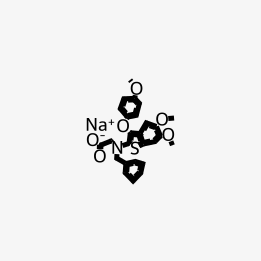 COc1ccc(Oc2c(N(CC(=O)[O-])Cc3ccccc3)sc3cc(OC)c(OC)cc23)cc1.[Na+]